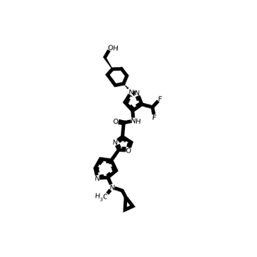 CN(CC1CC1)c1cc(-c2nc(C(=O)Nc3cn([C@H]4CC[C@H](CO)CC4)nc3C(F)F)co2)ccn1